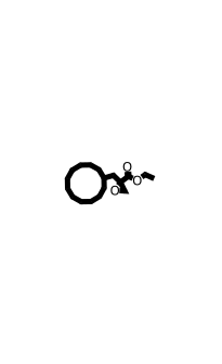 CCOC(=O)C1(CC2CCCCCCCCCCC2)CO1